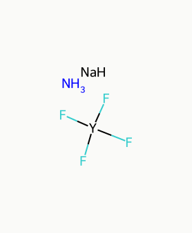 N.[F][Y]([F])([F])[F].[NaH]